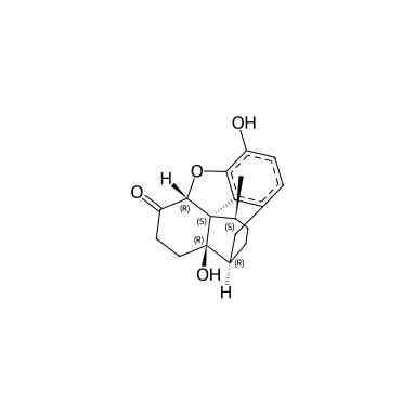 C[C@H]1CC[C@@H]2Cc3ccc(O)c4c3[C@]13[C@@H](O4)C(=O)CC[C@@]23O